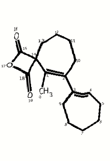 CC1=C(C2=CCCCCC2)CCCCC12C(=O)OC2=O